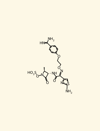 C[C@H]1[C@H](NC(=O)C(=NOCCOc2ccc(C(=N)N)cc2)c2csc(N)n2)C(=O)N1OS(=O)(=O)O